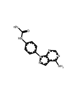 CCCC(=O)Nc1ccc(-n2ncc3c(N)ncnc32)cc1